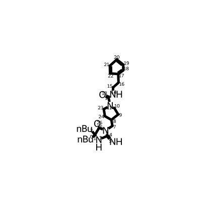 CCCCC1(CCCC)NC(=N)N(CC2CCN(C(=O)NCCc3ccccc3)CC2)C1=O